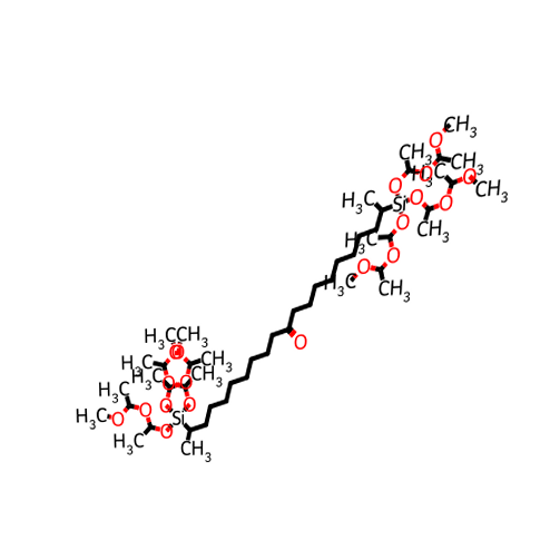 COC(C)OC(C)O[Si](OC(C)OC(C)OC)(OC(C)OC(C)OC)C(C)CCCCCCCCC(=O)CCCCCCCCC(C)[Si](OC(C)OC(C)OC)(OC(C)OC(C)OC)OC(C)OC(C)OC